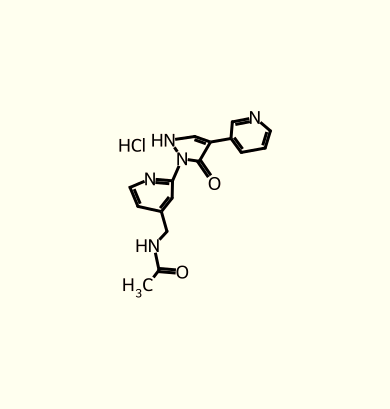 CC(=O)NCc1ccnc(-n2[nH]cc(-c3cccnc3)c2=O)c1.Cl